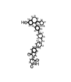 O=C1CC[C@H](N2Cc3cc(N4CCN(CC5CCN(c6ccc(C7=C(C8CCCC8)CCCc8cc(O)ccc87)cc6)CC5)CC4)ccc3C2=O)C(=O)N1